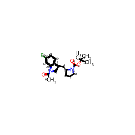 CC(=O)n1cc(C[C@@H]2CCCN2C(=O)OC(C)(C)C)c2ccc(F)cc21